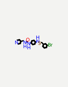 O=C(NCc1ccncc1)Nc1ccc(NSCc2cccc(Br)c2)cc1